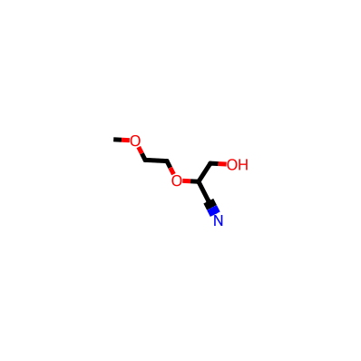 COCCOC(C#N)CO